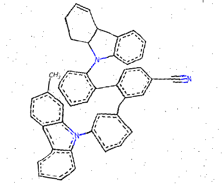 Cc1ccc2c3ccccc3n(-c3cccc(-c4cc(C#N)ccc4-c4ccccc4N4c5ccccc5C5C=CCCC54)c3)c2c1